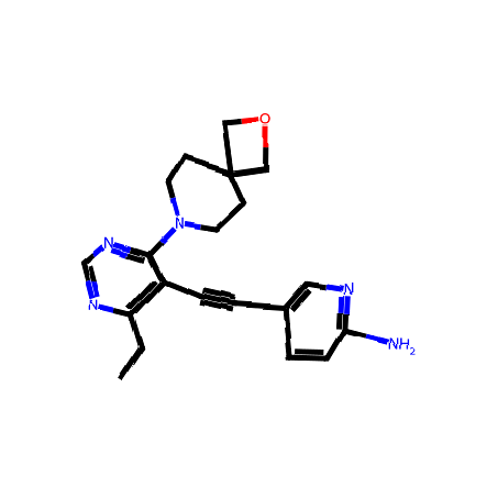 CCc1ncnc(N2CCC3(CC2)COC3)c1C#Cc1ccc(N)nc1